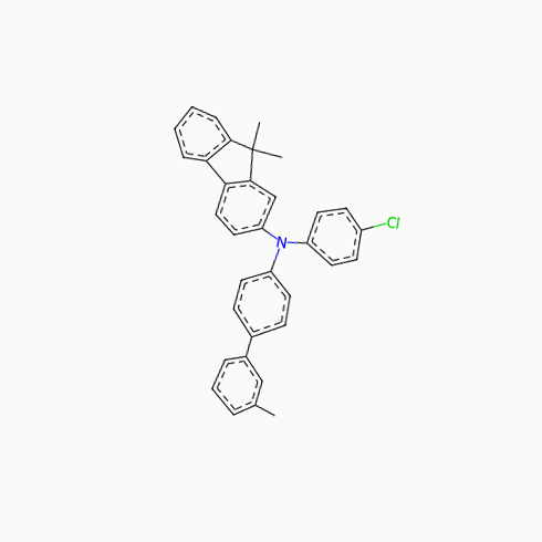 Cc1cccc(-c2ccc(N(c3ccc(Cl)cc3)c3ccc4c(c3)C(C)(C)c3ccccc3-4)cc2)c1